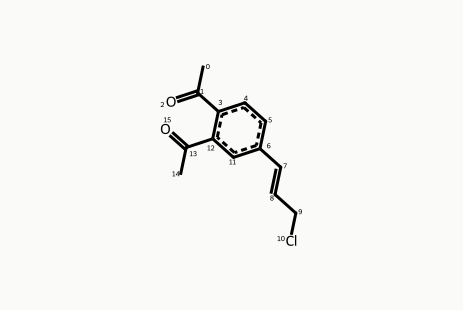 CC(=O)c1ccc(C=CCCl)cc1C(C)=O